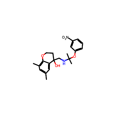 Cc1cc(C)c2c(c1)C(O)(CNC(C)(C)Oc1cccc([N+](=O)[O-])c1)CCO2